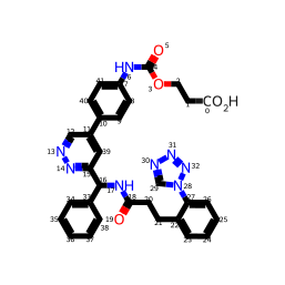 O=C(O)CCOC(=O)Nc1ccc(-c2cnnc(C(NC(=O)CCc3ccccc3-n3cnnn3)c3ccccc3)c2)cc1